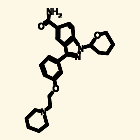 NC(=O)c1ccc2c(c1)c(-c1cccc(OCCN3CCCCC3)c1)nn2C1CCCCO1